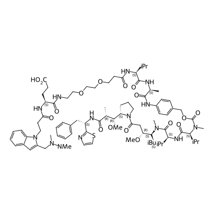 CC[C@H](C)[C@@H]([C@@H](CC(=O)N1CCC[C@H]1[C@H](OC)[C@@H](C)C(=O)N[C@@H](Cc1ccccc1)c1nccs1)OC)N(C)C(=O)[C@@H](NC(=O)[C@H](C(C)C)N(C)C(=O)OCc1ccc(NC(=O)[C@H](C)NC(=O)[C@@H](NC(=O)CCOCCOCCNC(=O)[C@H](CCC(=O)O)NC(=O)CCn2c(CN(C)NC)cc3ccccc32)C(C)C)cc1)C(C)C